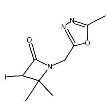 Cc1nnc(CN2C(=O)C(I)C2(C)C)o1